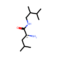 CC(C)C[C@H](N)C(=O)NCC(C)C(C)C